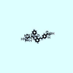 CC[C@H](Nc1ncnc2[nH]cnc12)c1nc2cccc(CCc3ccc(C(=O)NO)cc3)c2c(=O)n1-c1ccccc1